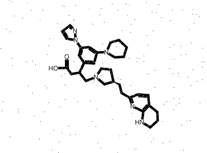 O=C(O)CC(CN1CC[C@@H](CCc2ccc3c(n2)NCCC3)C1)c1cc(N2CCCCC2)cc(-n2cccn2)c1